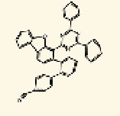 N#Cc1ccc(-c2ccccc2-c2ccc3c(oc4ccccc43)c2-c2nc(-c3ccccc3)nc(-c3ccccc3)n2)cc1